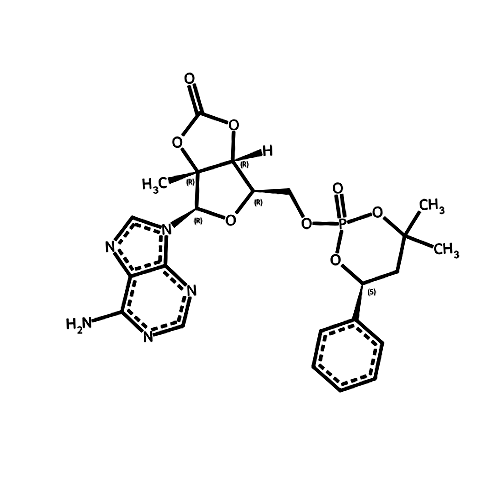 CC1(C)C[C@@H](c2ccccc2)OP(=O)(OC[C@H]2O[C@@H](n3cnc4c(N)ncnc43)[C@]3(C)OC(=O)O[C@H]23)O1